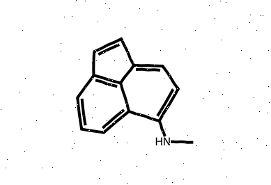 CNc1ccc2c3c(cccc13)C=C2